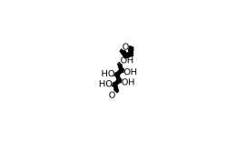 O=CC(O)C(O)C(O)C(O)CO.c1ccoc1